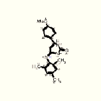 COc1ccc(-c2c/c(=N/c3c(C)cc(C)cc3C)[nH]c(=O)[nH]2)cc1